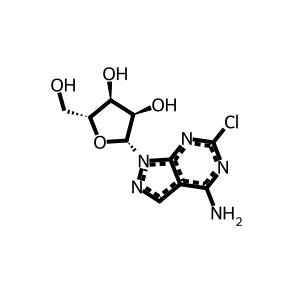 Nc1nc(Cl)nc2c1cnn2[C@@H]1O[C@H](CO)[C@@H](O)[C@H]1O